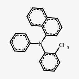 Cc1ccccc1N(c1ccccc1)c1cccc2ccccc12